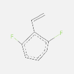 C=Cc1c(F)cccc1F